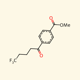 COC(=O)c1ccc(C(=O)CCCC(F)(F)F)cc1